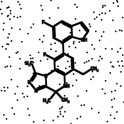 CCc1cc(-c2cc(F)cc3cc[nH]c23)c(F)c2c1NC(C)(C)c1nnc(C)n1-2